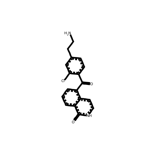 NCCc1ccc(C(=O)c2cccc3c(=O)[nH]ccc23)c(Cl)c1